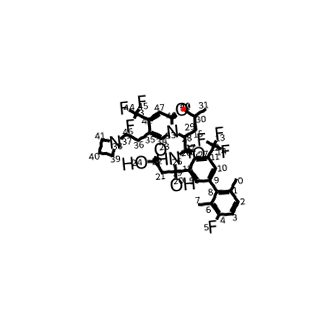 Cc1ccc(F)c(C)c1-c1cc(C(F)(F)F)c(F)c(C(O)(CC(=O)O)NC(=O)C(CC(C)C)n2cc(CCN3CCC3)c(C(F)(F)F)cc2=O)c1